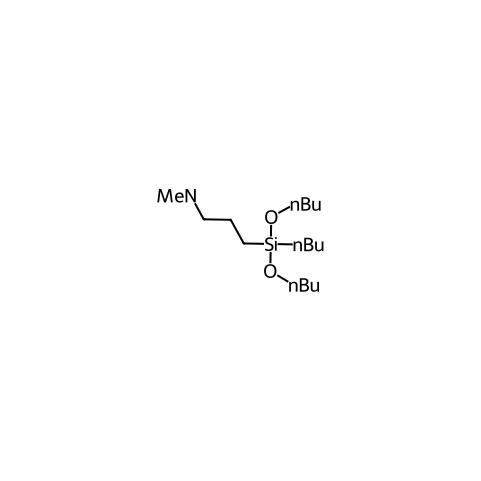 CCCCO[Si](CCCC)(CCCNC)OCCCC